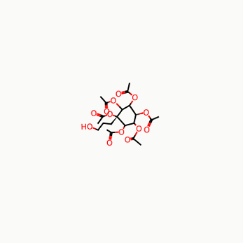 CC(=O)OC1C(OC(C)=O)[C@](CCCO)(OC(C)=O)C(OC(C)=O)C(OC(C)=O)[C@H]1OC(C)=O